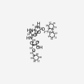 C[C@H](NC(=O)OCC1c2ccccc2-c2ccccc21)C(=O)N[C@@H](C)C(=O)NCO[C@H](COCc1ccccc1)C(=O)O